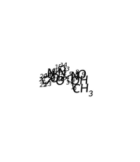 CCCC[C@H](CN(O)C=O)C(=O)N1CCC[C@@H]1c1nc2ccccc2o1